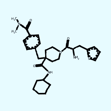 CN(C)C(=O)c1ccc(CC2(C(=O)NC3CCCCC3)CCN(C(=O)C(N)Cc3cccs3)CC2)cc1